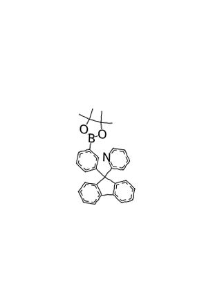 CC1(C)OB(c2cccc(C3(c4ccccn4)c4ccccc4-c4ccccc43)c2)OC1(C)C